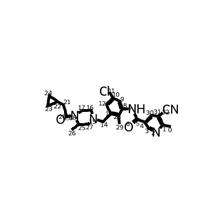 Cc1ncc(C(=O)Nc2cc(Cl)cc(CN3CCN(C(=O)CC4CC4)C(C)C3)c2C)cc1C#N